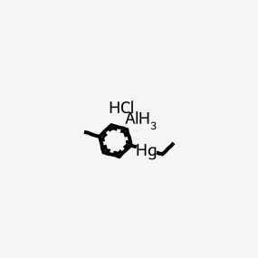 C[CH2][Hg][c]1ccc(C)cc1.Cl.[AlH3]